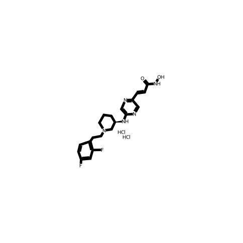 Cl.Cl.O=C(C=Cc1cnc(N[C@@H]2CCCN(CCc3ccc(F)cc3F)C2)cn1)NO